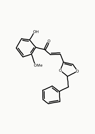 COc1cccc(O)c1C(=O)C=CC1=COC(Cc2ccccc2)O1